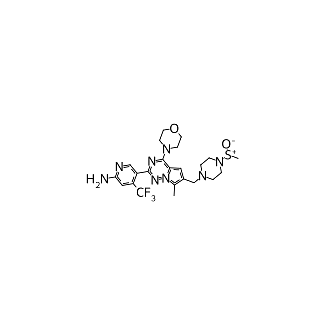 Cc1c(CN2CCN([S+](C)[O-])CC2)cc2c(N3CCOCC3)nc(-c3cnc(N)cc3C(F)(F)F)nn12